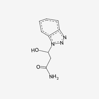 NC(=O)CC(O)n1nnc2ccccc21